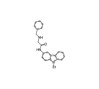 CCn1c2ccccc2c2cc(NC(=O)CNCc3ccccc3)ccc21